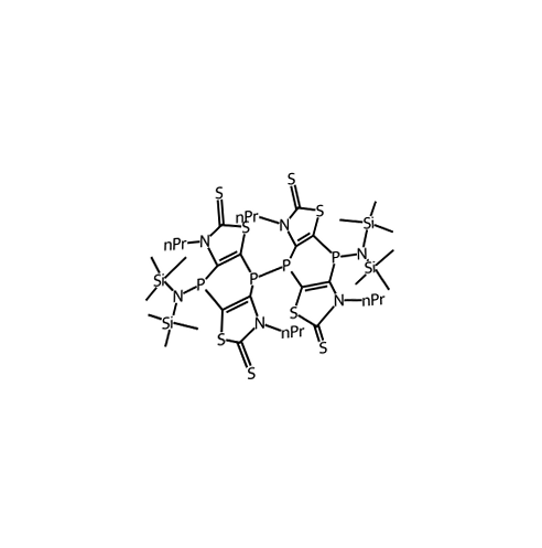 CCCn1c2c(sc1=S)P(P1c3sc(=S)n(CCC)c3P(N([Si](C)(C)C)[Si](C)(C)C)c3sc(=S)n(CCC)c31)c1c(sc(=S)n1CCC)P2N([Si](C)(C)C)[Si](C)(C)C